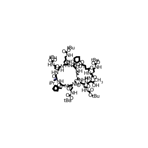 CC(C)/C=C1\NC(=O)[C@@H](Cc2ccccc2)NC(=O)[C@H](CCNC(=O)OC(C)(C)C)NC[C@@H](NC(=O)[C@H](CCNC(=O)OC(C)(C)C)NC(=O)[C@@H](NC(=O)[C@H](CCNC(=O)OC(C)(C)C)NC(=O)CCC(=O)OC2CCCCC2)C(C)O)CCNC(=O)[C@H]([C@H](C)O)NC(=O)[C@H](CCCNC(=O)OC(C)(C)C)NC(=O)[C@H](CCNC(=O)OC(C)(C)C)NC1=O